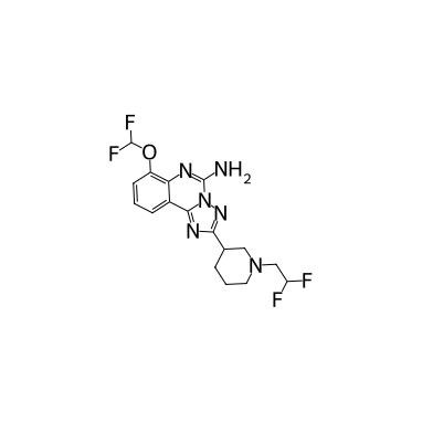 Nc1nc2c(OC(F)F)cccc2c2nc(C3CCCN(CC(F)F)C3)nn12